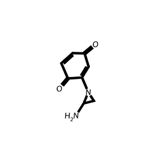 NC1CN1C1=CC(=O)C=CC1=O